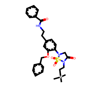 C[Si](C)(C)CCN1C(=O)CN(c2ccc(CCNC(=O)c3ccccc3)cc2OCc2ccccc2)S1(=O)=O